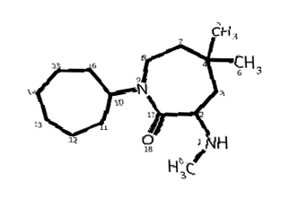 CNC1CC(C)(C)CCN(C2CCCCCC2)C1=O